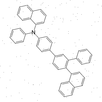 c1ccc(-c2cc(-c3ccc(N(c4ccccc4)c4cccc5ccccc45)cc3)ccc2-c2cccc3ccccc23)cc1